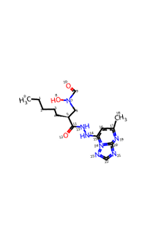 CCCCC[C@@H](CN(O)C=O)C(=O)NNc1cc(C)nc2ncnn12